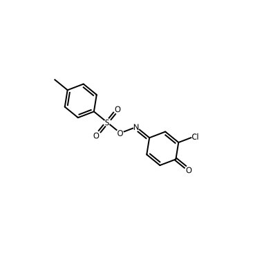 Cc1ccc(S(=O)(=O)ON=C2C=CC(=O)C(Cl)=C2)cc1